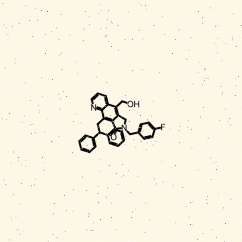 O=C1c2c(c(CO)c3cccnc3c2CC(c2ccccc2)c2ccccc2)CN1Cc1ccc(F)cc1